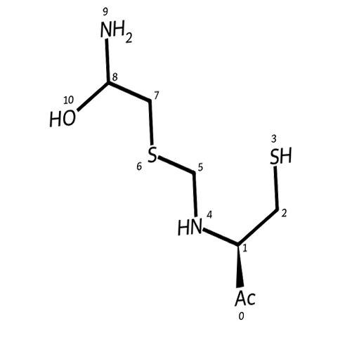 CC(=O)[C@H](CS)NCSCC(N)O